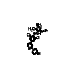 Cc1c(NSc2c(Cl)cc(-c3ccnc(N4CCNCC4)c3)cc2Cl)c(CC(C)C)nn1C